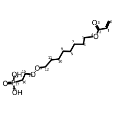 C=CC(=O)OCCCCCCCCOOCCP(=O)(O)O